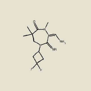 CN1C(=O)C(C)(C)CN(C2CC(F)(F)C2)C(=N)/C1=C\N